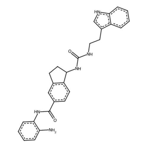 Nc1ccccc1NC(=O)c1ccc2c(c1)CCC2NC(=O)NCCc1c[nH]c2ccccc12